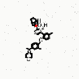 Cc1ccc(OCc2ccc(C(C)N3CCOCC3)cc2C)c(-c2csc(N3CC4CC[C@@H](C3)C4C(=O)O)n2)c1